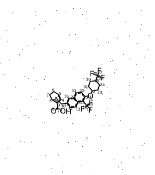 O=C(O)C1CC2CCC1N2Cc1ccc2c(C(F)(F)F)c(OC3CCC(C(F)(F)F)CC3)ccc2c1